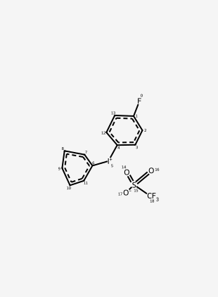 Fc1ccc([I+]c2ccccc2)cc1.O=S(=O)([O-])C(F)(F)F